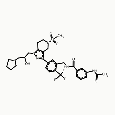 CC(=O)Nc1cccc(C(=O)NCc2cc(-c3nn(CC(O)CN4CCCC4)c4c3CN(S(C)(=O)=O)CC4)ccc2C(F)(F)F)c1